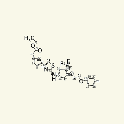 CCOC(=O)Cc1ccc(-c2csc(Nc3ccc(OCCOc4ccccc4)c(C(F)(F)F)c3)n2)s1